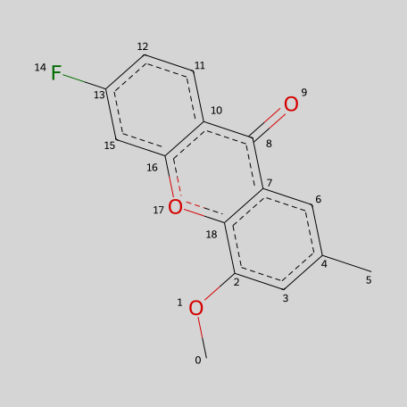 COc1cc(C)cc2c(=O)c3ccc(F)cc3oc12